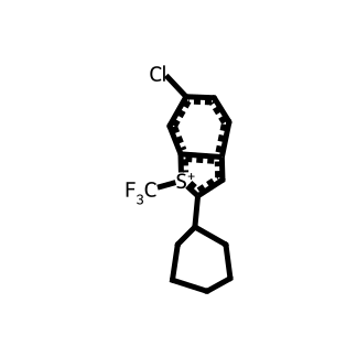 FC(F)(F)[s+]1c(C2CCCCC2)cc2ccc(Cl)cc21